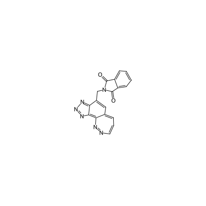 O=C1c2ccccc2C(=O)N1Cc1cc2cccnnc2c2nnnc12